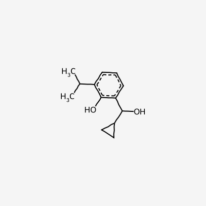 CC(C)c1cccc(C(O)C2CC2)c1O